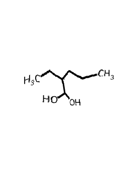 CCC[C](CC)C(O)O